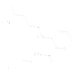 Cc1ccc(C(=O)NCCC(=O)O)c(NC(=O)CCC(C)N)c1